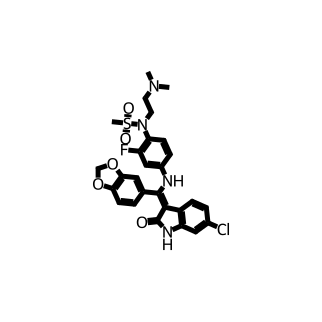 CN(C)CCN(c1ccc(NC(=C2C(=O)Nc3cc(Cl)ccc32)c2ccc3c(c2)OCO3)cc1F)S(C)(=O)=O